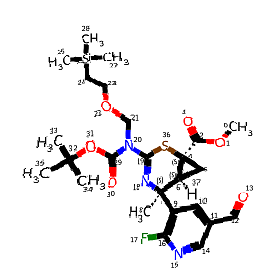 COC(=O)[C@]12C[C@H]1[C@@](C)(c1cc(C=O)cnc1F)N=C(N(COCC[Si](C)(C)C)C(=O)OC(C)(C)C)S2